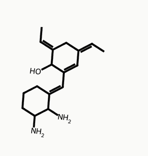 CC=C1C=C(C=C2CCCC(N)C2N)C(O)C(=CC)C1